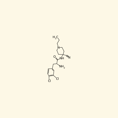 CCCN1CCC(C#N)(NC(=O)C(N)Cc2ccc(Cl)c(Cl)c2)CC1